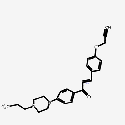 C#CCOc1ccc(/C=C/C(=O)c2ccc(N3CCN(CCC)CC3)cc2)cc1